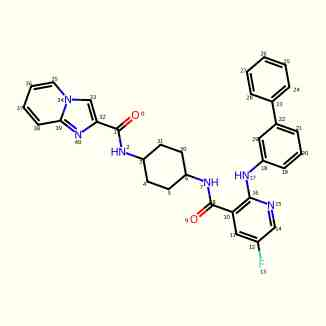 O=C(NC1CCC(NC(=O)c2cc(F)cnc2Nc2cccc(-c3ccccc3)c2)CC1)c1cn2ccccc2n1